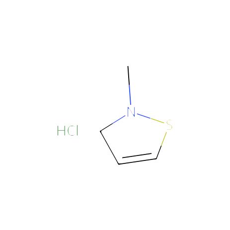 CN1CC=CS1.Cl